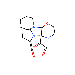 O=C=C1CCCN1C1(C(=O)C=O)[N]CCOC1N1CCCCC1